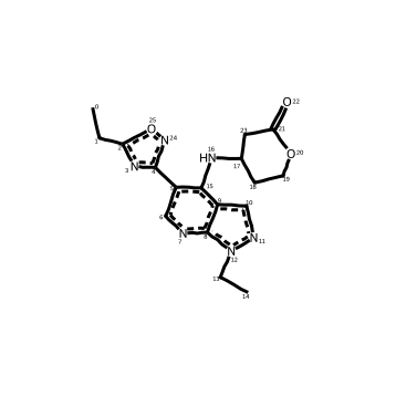 CCc1nc(-c2cnc3c(cnn3CC)c2NC2CCOC(=O)C2)no1